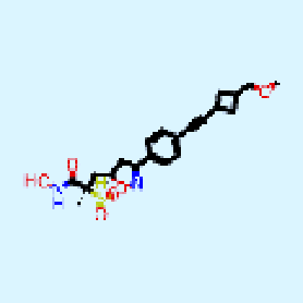 COCC1CC(C#Cc2ccc(C3=NO[C@@H](C[C@](C)(C(=O)NO)[SH](=O)=O)C3)cc2)C1